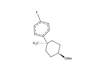 CO[C@H]1CC[C@@](C)(c2ccc(F)cc2)CC1